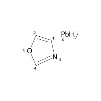 [PbH2].c1cocn1